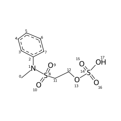 CN(c1ccccc1)S(=O)(=O)CCOS(=O)(=O)O